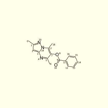 Cc1cc2nc(C)c(OC(=O)c3ccccc3)c(C)n2n1